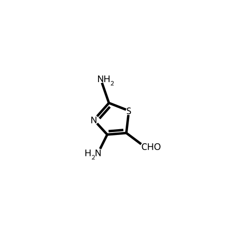 Nc1nc(N)c(C=O)s1